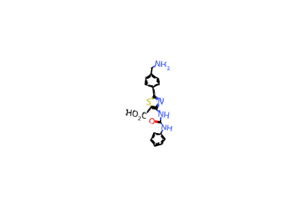 NCc1ccc(-c2nc(NC(=O)Nc3ccccc3)c(C(=O)O)s2)cc1